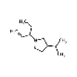 C=CC(CC)N1CCC(C(C)C)C1